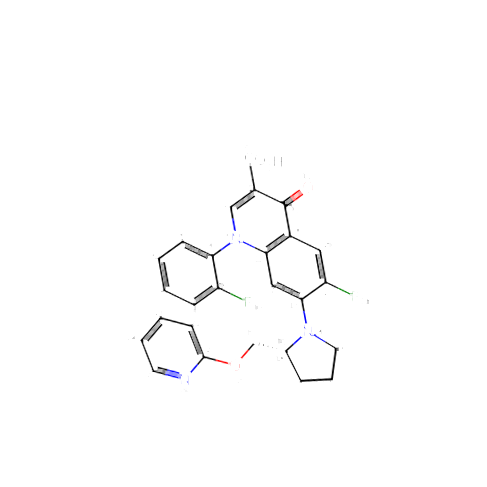 O=C(O)c1cn(-c2ccccc2F)c2cc(N3CCC[C@@H]3COc3ccccn3)c(F)cc2c1=O